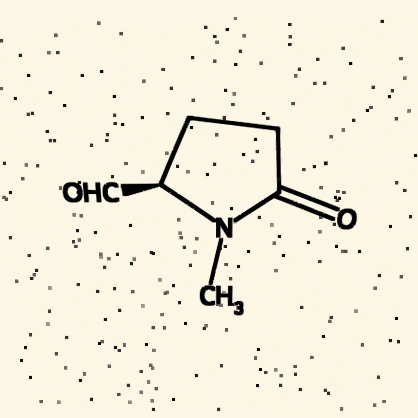 CN1C(=O)CC[C@@H]1C=O